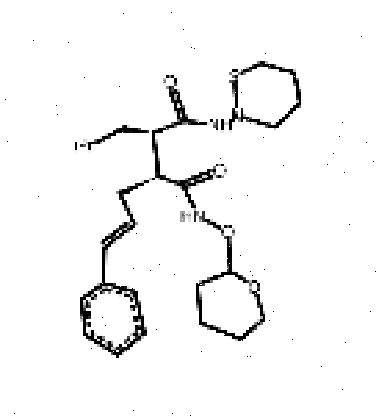 CC(C)C[C@@H](C(=O)NN1CCCCS1)[C@H](CC=Cc1ccccc1)C(=O)NOC1CCCCO1